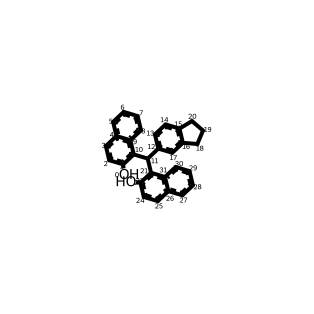 Oc1ccc2ccccc2c1C(c1ccc2c(c1)CCC2)c1c(O)ccc2ccccc12